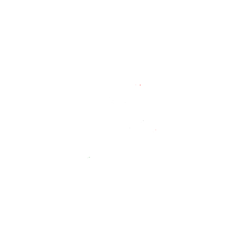 CC1CC2=C(O1)c1ccc3ccc(Cl)cc3c1C(=O)C2=O